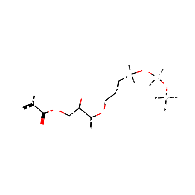 C=C(C)C(=O)OCC(O)C(C)OCCC[Si](CC)(CC)O[Si](CC)(CC)O[Si](C)(CC)CC